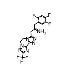 N[C@H](Cc1cc(F)c(F)cc1F)Cc1nnc2n1CCn1nc(C(F)(F)F)nc1-2